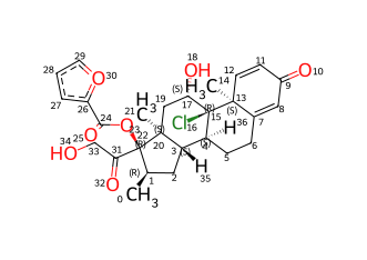 C[C@@H]1C[C@H]2[C@@H]3CCC4=CC(=O)C=C[C@]4(C)[C@@]3(Cl)[C@@H](O)C[C@]2(C)[C@@]1(OC(=O)c1ccco1)C(=O)CO